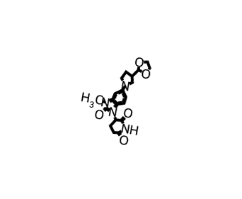 Cn1c(=O)n(C2CCC(=O)NC2=O)c2ccc(N3CCC(C4OCCO4)C3)cc21